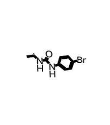 C[CH]NC(=O)Nc1ccc(Br)cc1